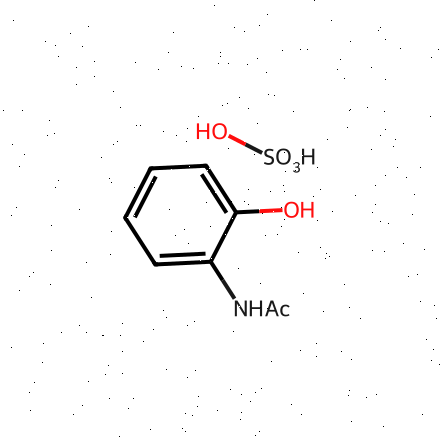 CC(=O)Nc1ccccc1O.O=S(=O)(O)O